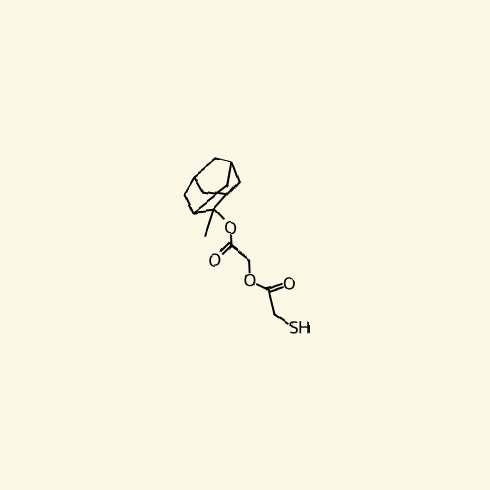 CC1(OC(=O)COC(=O)CS)C2CC3CC(C2)CC1C3